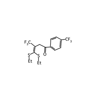 CCSC(SCC)=C(CC(=O)c1ccc(C(F)(F)F)cc1)C(F)(F)F